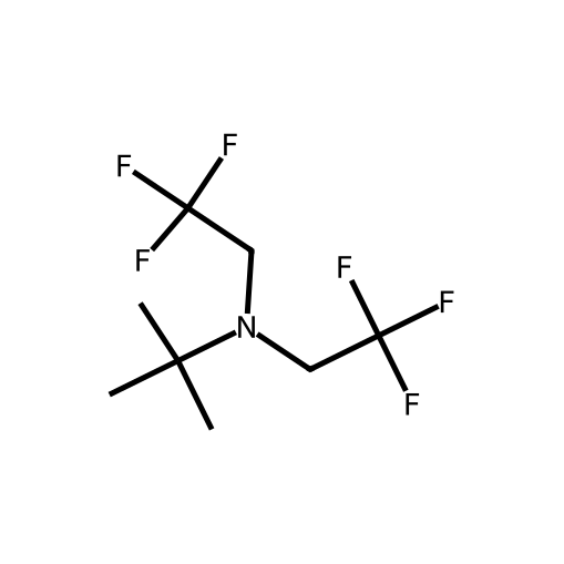 CC(C)(C)N(CC(F)(F)F)CC(F)(F)F